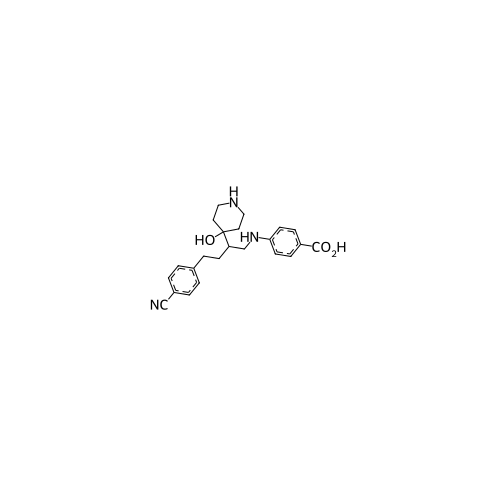 N#Cc1ccc(CCC(CNc2ccc(C(=O)O)cc2)C2(O)CCNCC2)cc1